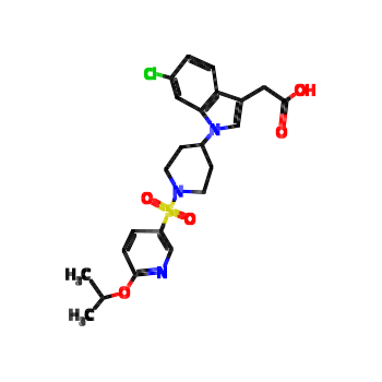 CC(C)Oc1ccc(S(=O)(=O)N2CCC(n3cc(CC(=O)O)c4ccc(Cl)cc43)CC2)cn1